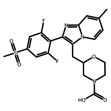 Cc1ccn2c(CC3CN(C(=O)O)CCO3)c(-c3c(F)cc(S(C)(=O)=O)cc3F)nc2c1